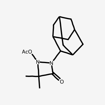 CC(=O)ON1N(C2C3CC4CC(C3)CC2C4)C(=O)C1(C)C